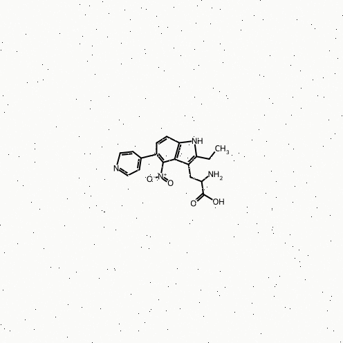 CCc1[nH]c2ccc(-c3ccncc3)c([N+](=O)[O-])c2c1CC(N)C(=O)O